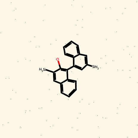 [O]c1c([SiH3])cc2ccccc2c1-c1cc([SiH3])cc2ccccc12